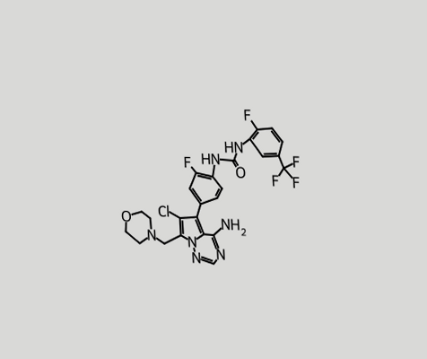 Nc1ncnn2c(CN3CCOCC3)c(Cl)c(-c3ccc(NC(=O)Nc4cc(C(F)(F)F)ccc4F)c(F)c3)c12